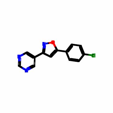 Clc1ccc(-c2cc(-c3cncnc3)no2)cc1